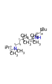 CC(C)C(C)N(C)CCCC(C)(C)CCC(C)(C)NCCC(C)(C)C